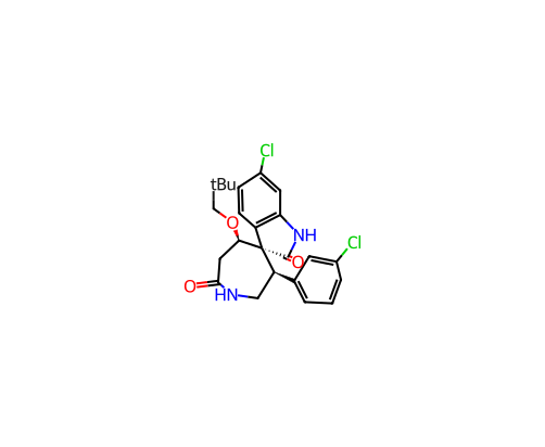 CC(C)(C)CO[C@@H]1CC(=O)NC[C@H](c2cccc(Cl)c2)[C@@]12C(=O)Nc1cc(Cl)ccc12